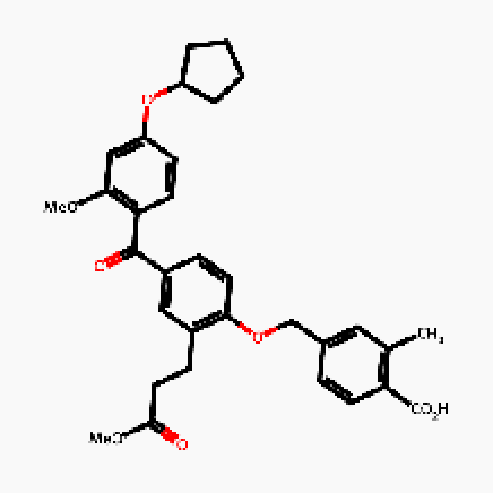 COC(=O)CCc1cc(C(=O)c2ccc(OC3CCCC3)cc2OC)ccc1OCc1ccc(C(=O)O)c(C)c1